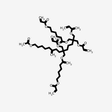 C=CC(=C)OCC(CCCC(CCC(=C)CCCCCOC(C)=O)(COC(=C)CCCCCOC(=O)C=C)COC(=O)C=C)(COC(=O)C=C)COC(=O)CCCCCOC(=O)C=C